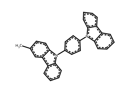 Cc1ccc2c(c1)c1ccccc1n2-c1ccc(-n2c3ccccc3c3ccccc32)cc1